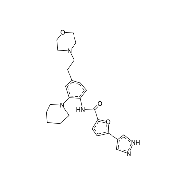 O=C(Nc1ccc(CCN2CCOCC2)cc1N1CCCCC1)c1ccc(-c2cn[nH]c2)o1